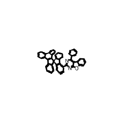 c1ccc(-c2nc(-c3cccc4c3-c3ccccc3C43c4ccccc4-c4c3c3ccccc3c3ccccc43)nc3oc4ccccc4c23)cc1